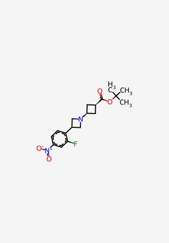 CC(C)(C)OC(=O)[C@H]1C[C@@H](N2CC(c3ccc([N+](=O)[O-])cc3F)C2)C1